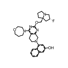 Oc1cc(N2CCc3c(nc(OC[C@@]45CCCN4C[C@H](F)C5)nc3N3CCCOCC3)C2)c2ccccc2c1